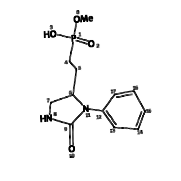 COP(=O)(O)CCC1CNC(=O)N1c1ccccc1